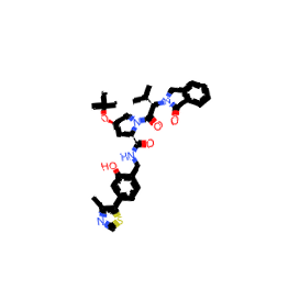 Cc1ncsc1-c1ccc(CNC(=O)[C@@H]2C[C@@H](OC(C)(C)C)CN2C(=O)[C@H](C(C)C)N2Cc3ccccc3C2=O)c(O)c1